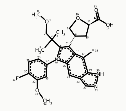 COCC(C)(C)c1c([C@@H]2CO[C@@H](C(=O)O)C2)c2c(F)c3[nH]ncc3cc2n1-c1ccc(F)c(OC)c1